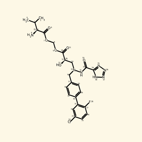 CC(C)[C@H](N)C(=O)OCOC(=O)[C@H](O)CN(Cc1ccc(-c2cc(Cl)ccc2F)cc1)NC(=O)c1nnn[nH]1